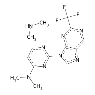 CN(C)c1ccnc(-n2cnc3cnc(C(F)(F)F)nc32)n1.CNC